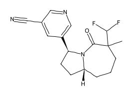 CC1(C(F)F)CCC[C@@H]2CC[C@@H](c3cncc(C#N)c3)N2C1=O